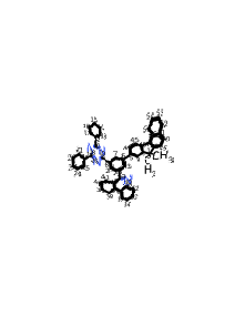 CC1(C)c2cc(-c3cc(-c4nc(-c5ccccc5)nc(-c5ccccc5)n4)cc(-c4nc5ccccc5c5ccccc45)c3)ccc2-c2c1ccc1ccccc21